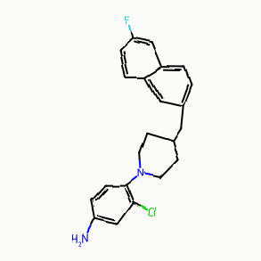 Nc1ccc(N2CCC(Cc3ccc4cc(F)ccc4c3)CC2)c(Cl)c1